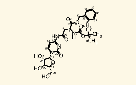 CC(C)(C)OC(=O)N[C@@H](CC(=O)Nc1ccn([C@@H]2O[C@H](CO)[C@@H](O)[C@@H]2O)c(=O)n1)C(=O)OCc1ccccc1